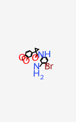 NCc1cc(NC(=O)C2(c3ccc4c(c3)OCO4)CC2)ccc1Br